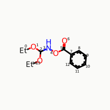 CCOC(NOC(=O)c1ccccc1)OCC